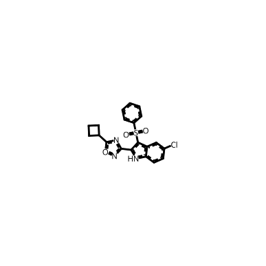 O=S(=O)(c1ccccc1)c1c(-c2noc(C3CCC3)n2)[nH]c2ccc(Cl)cc12